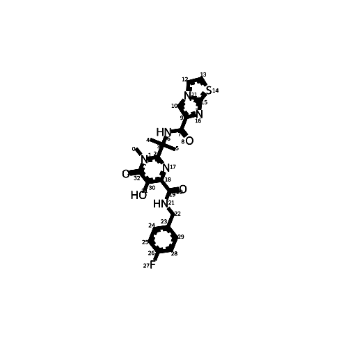 Cn1c(C(C)(C)NC(=O)c2cn3ccsc3n2)nc(C(=O)NCc2ccc(F)cc2)c(O)c1=O